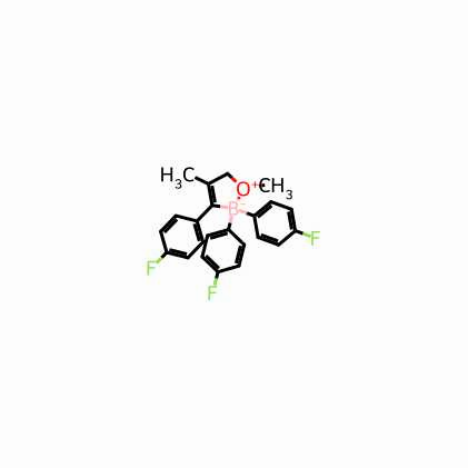 CC1=C(c2ccc(F)cc2)[B-](c2ccc(F)cc2)(c2ccc(F)cc2)[O+](C)C1